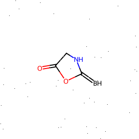 B=C1NCC(=O)O1